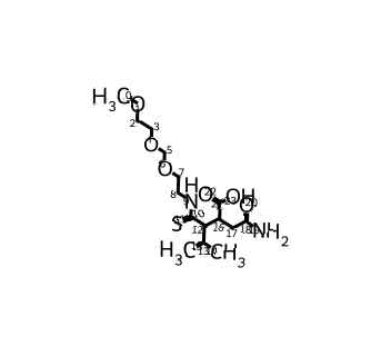 COCCOCOCCNC(=S)C(C(C)C)C(CC(N)=O)C(=O)O